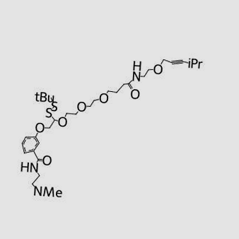 CNCCNC(=O)c1cccc(OCC(OCCOCCOCCCC(=O)NCCOCC#CC(C)C)SSC(C)(C)C)c1